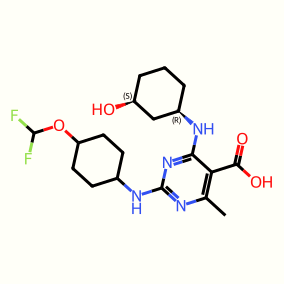 Cc1nc(NC2CCC(OC(F)F)CC2)nc(N[C@@H]2CCC[C@H](O)C2)c1C(=O)O